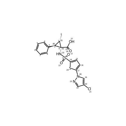 C[C@H]1[C@H](c2ccccc2)[C@]1(NS(=O)(=O)c1ccc(-n2cc(Cl)cn2)s1)C(=O)O